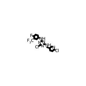 Fc1ccc(Nc2nc(Cl)nc(NCc3ccc(Cl)nc3)n2)cc1C(F)(F)F